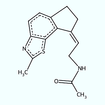 CC(=O)NC/C=C1/CCc2ccc3nc(C)sc3c21